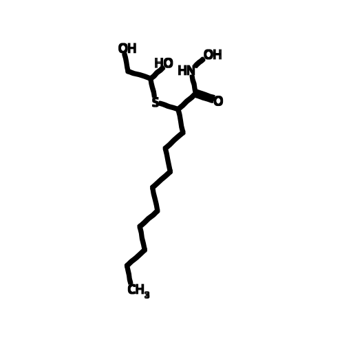 CCCCCCCCCC(SC(O)CO)C(=O)NO